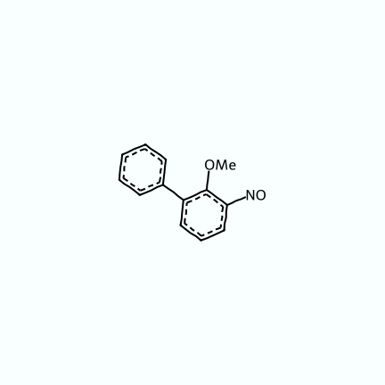 COc1c(N=O)cccc1-c1ccccc1